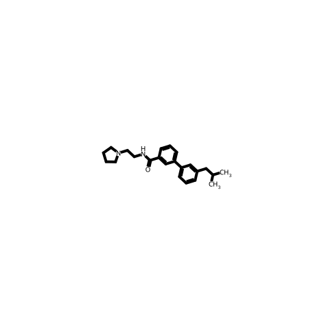 CC(C)Cc1cccc(-c2cccc(C(=O)NCCN3CCCC3)c2)c1